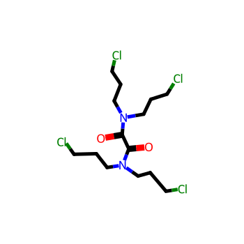 O=C(C(=O)N(CCCCl)CCCCl)N(CCCCl)CCCCl